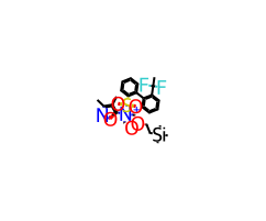 Cc1noc([N+](C=O)(COCC[Si](C)(C)C)S(=O)(=O)c2ccccc2-c2ccccc2C(C)(F)F)c1C